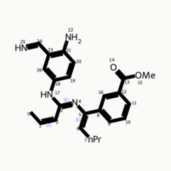 C\C=C/C(=N\C(=C\CCC)c1cccc(C(=O)OC)c1)Nc1ccc(N)c(C=N)c1